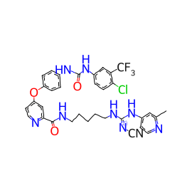 Cc1cc(N/C(=N\C#N)NCCCCCNC(=O)c2cc(Oc3ccc(NC(=O)Nc4ccc(Cl)c(C(F)(F)F)c4)cc3)ccn2)ccn1